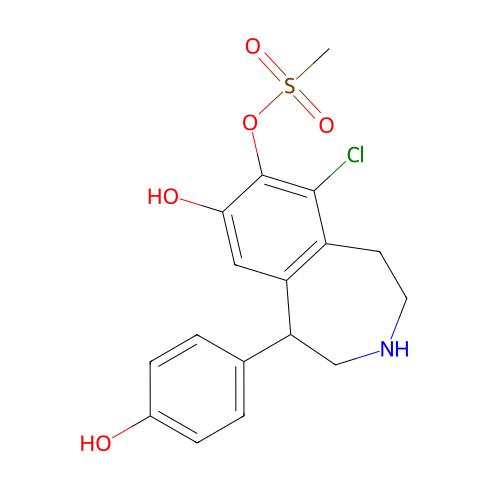 CS(=O)(=O)Oc1c(O)cc2c(c1Cl)CCNCC2c1ccc(O)cc1